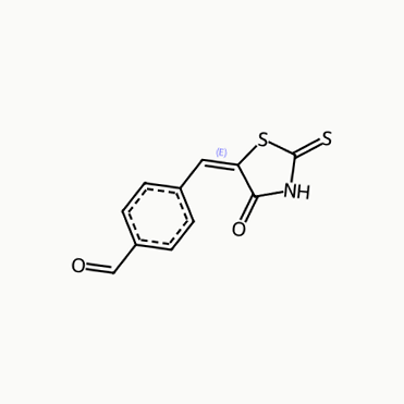 O=Cc1ccc(/C=C2/SC(=S)NC2=O)cc1